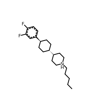 CCCCC[SiH]1CCC([C@H]2CC[C@H](c3ccc(F)c(F)c3)CC2)CC1